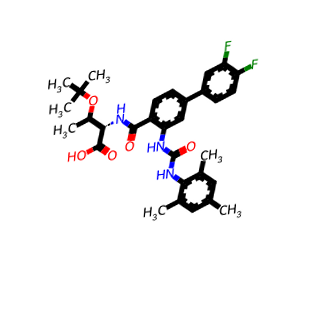 Cc1cc(C)c(NC(=O)Nc2cc(-c3ccc(F)c(F)c3)ccc2C(=O)N[C@H](C(=O)O)C(C)OC(C)(C)C)c(C)c1